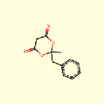 CC1(Cc2ccccc2)OC(=O)CC(=O)O1